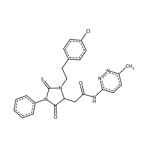 Cc1ccc(NC(=O)CC2C(=O)N(c3ccccc3)C(=S)N2CCc2ccc(Cl)cc2)nn1